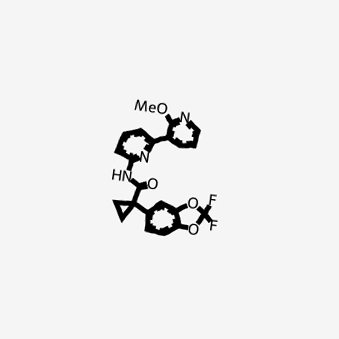 COc1ncccc1-c1cccc(NC(=O)C2(c3ccc4c(c3)OC(F)(F)O4)CC2)n1